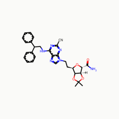 CC1(C)OC2[C@@H](CCn3cnc4c(NCC(c5ccccc5)c5ccccc5)nc(C#N)nc43)O[C@H](C(N)=O)[C@H]2O1